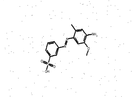 COc1cc(N=Nc2cccc(S(=O)(=O)O)c2)c(C)cc1N